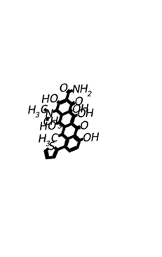 CC1c2c(-c3cccs3)ccc(O)c2C(=O)C2=C(O)C3(O)C(=O)C(C(N)=O)=C(O)C(N(C)C)C3C(O)C21